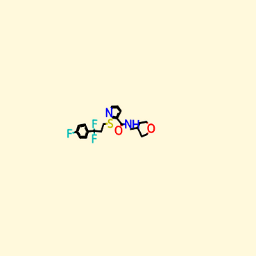 O=C(NCC1CCOCC1)c1cccnc1SCCC(F)(F)c1ccc(F)cc1